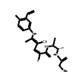 C=Cc1cc(N/C(C)=C(C#N)/C=C(/F)C(=C)NC(C)[C@H](C)NC(=C)CC(C)(C)C)ccc1C